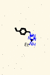 C=Cc1ccc(Cn2nnc(NCC)n2)cc1